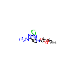 CC(C)(C)[Si](C)(C)OC[C@@]1(C)O[C@@H](n2ccc3c(N)nc(Cl)nc32)CC1=O